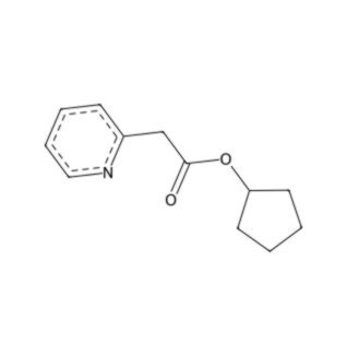 O=C(Cc1ccccn1)OC1CCCC1